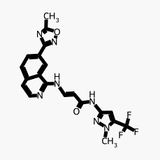 Cc1nc(-c2ccc3ccnc(NC=CC(=O)Nc4cc(C(F)(F)F)n(C)n4)c3c2)no1